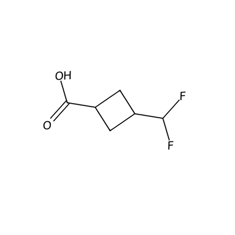 O=C(O)C1CC(C(F)F)C1